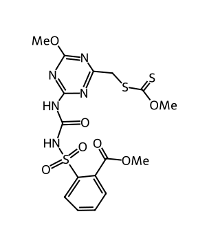 COC(=O)c1ccccc1S(=O)(=O)NC(=O)Nc1nc(CSC(=S)OC)nc(OC)n1